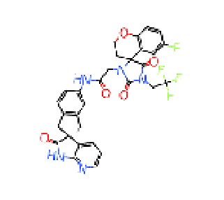 O=C(CN1C(=O)N(CC(F)(F)F)C(=O)C12CCOc1ccc(F)cc12)Nc1ccc2c(c1)C[C@@]1(C2)C(=O)Nc2ncccc21